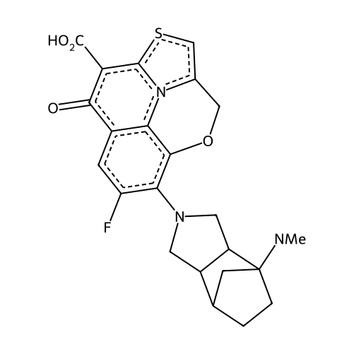 CNC12CCC(C1)C1CN(c3c(F)cc4c(=O)c(C(=O)O)c5scc6n5c4c3OC6)CC12